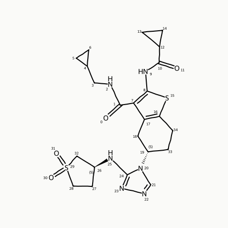 O=C(NCC1CC1)c1c(NC(=O)C2CC2)sc2c1C[C@@H](n1cnnc1N[C@H]1CCS(=O)(=O)C1)CC2